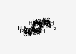 Nc1nc2c(ncn2[C@@H]2O[C@@H]3COP(=O)(S)O[C@H]4[C@@H](O)[C@H](n5cnc6c(=O)[nH]c(N)nc65)O[C@@H]4COP(=O)(S)O[C@H]3[C@H]2O)c(=O)[nH]1